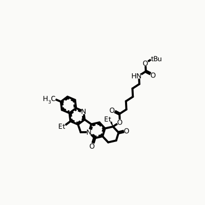 CCc1c2c(nc3ccc(C)cc13)-c1cc3c(c(=O)n1C2)CCC(=O)[C@@]3(CC)OC(=O)CCCCCNC(=O)OC(C)(C)C